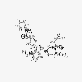 C[C@@H]1CC[C@H](c2nc(-c3ccc(C(=O)Nc4ccccn4)cc3)c3c(N)nccn23)CN1C(=O)CC1CC1